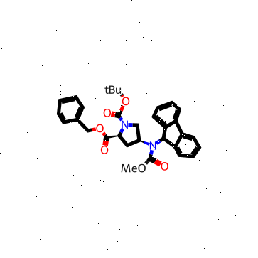 COC(=O)N(C1c2ccccc2-c2ccccc21)[C@H]1C[C@@H](C(=O)OCc2ccccc2)N(C(=O)OC(C)(C)C)C1